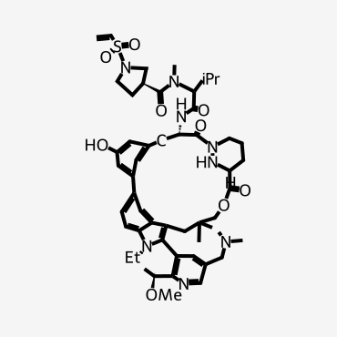 C=CS(=O)(=O)N1CC[C@H](C(=O)N(C)C(C(=O)N[C@H]2Cc3cc(O)cc(c3)-c3ccc4c(c3)c(c(-c3cc(CN(C)C)cnc3[C@H](C)OC)n4CC)CC(C)(C)COC(=O)[C@@H]3CCCN(N3)C2=O)C(C)C)C1